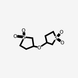 O=S1(=O)CCC(OC2CCS(=O)(=O)C2)C1